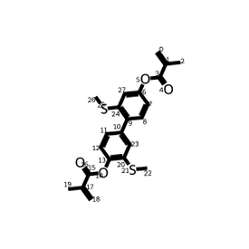 C=C(C)C(=O)Oc1ccc(-c2ccc(OC(=O)C(=C)C)c(SC)c2)c(SC)c1